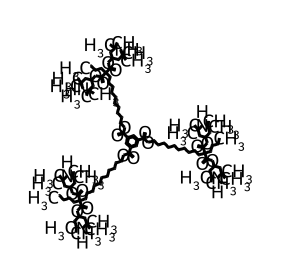 CCCCCC(CCCCCCCCCCCOC(=O)c1cc(C(=O)OCCCCCCCCCCC(CCCC)(C(=O)OC2CC(C)(C)NC(C)(C)C2)C(=O)OC2CC(C)(C)NC(C)(C)C2)cc(C(=O)OCCCCCCCCCCC(CCCC)(C(=O)OC2CC(C)(C)NC(C)(C)C2)C(=O)OC2CC(C)(C)NC(C)(C)C2)c1)(C(=O)OC1CC(C)(C)NC(C)(C)C1)C(=O)OC1CC(C)(C)NC(C)(C)C1